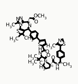 COC(=O)C[C@@H]1N=C(c2ccc(-c3ccc(C(=O)NC(C(=O)N4CCC[C@H]4C(=O)N[C@@H](C)c4ccc(-c5scnc5C)cc4)C(C)(C)C)s3)cc2)c2c(sc(C)c2C)-n2c(C)nnc21